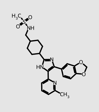 Cc1cccc(-c2[nH]c(C3CCC(CNS(C)(=O)=O)CC3)nc2-c2ccc3c(c2)OCO3)n1